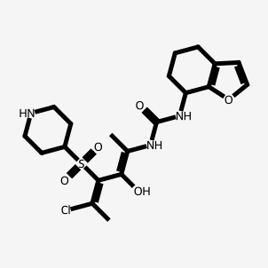 C/C(Cl)=C(\C(O)=C(/C)NC(=O)NC1CCCc2ccoc21)S(=O)(=O)C1CCNCC1